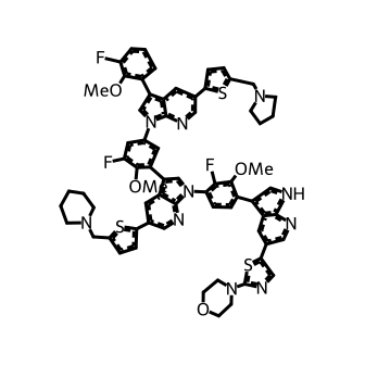 COc1c(F)cccc1-c1cn(-c2cc(F)c(OC)c(-c3cn(-c4ccc(-c5c[nH]c6ncc(-c7cnc(N8CCOCC8)s7)cc56)c(OC)c4F)c4ncc(-c5ccc(CN6CCCCC6)s5)cc34)c2)c2ncc(-c3ccc(CN4CCCC4)s3)cc12